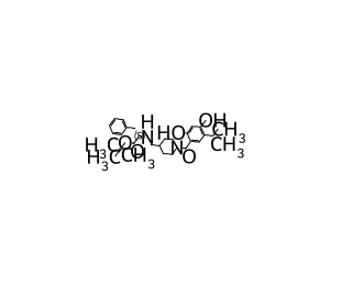 CC(C)c1cc(C(=O)N2CCC(CN[C@@H](Cc3ccccc3)C(=O)OC(C)(C)C)CC2)c(O)cc1O